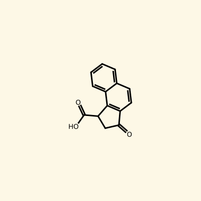 O=C1CC(C(=O)O)c2c1ccc1ccccc21